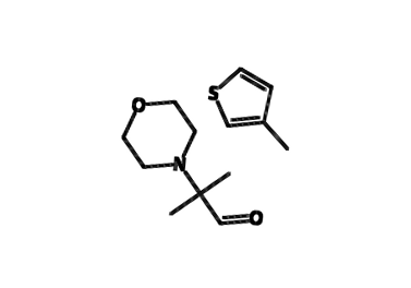 CC(C)(C=O)N1CCOCC1.Cc1ccsc1